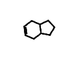 [CH]1C=CCC2CCCC12